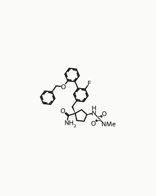 CNS(=O)(=O)N[C@H]1CC[C@](Cc2ccc(F)c(-c3ccccc3OCc3ccccc3)c2)(C(N)=O)C1